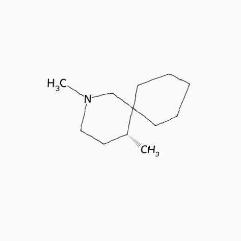 C[C@@H]1CCN(C)CC12CCCCC2